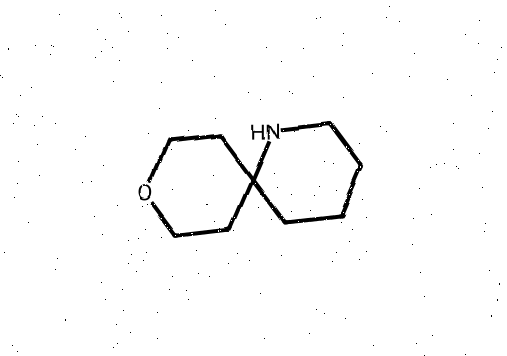 C1CCC2(CCOCC2)NC1